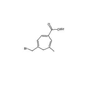 COC(=O)C1=CC=C(CBr)CC(C)=C1